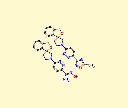 Cc1nc(-c2ccc(N3CCC4(C3)OCc3ccccc34)nn2)no1.NC(=NO)c1ccc(N2CCC3(C2)OCc2ccccc23)nn1